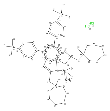 CC1(CC2=Cc3c(-c4ccc([Si](C)(C)C)cc4)cccc3[CH]2[Zr]([CH3])([CH3])(=[SiH2])[CH]2C(CC3(C)CCCCCC3)=Cc3c(-c4ccc([Si](C)(C)C)cc4)cccc32)CCCCCC1.Cl.Cl